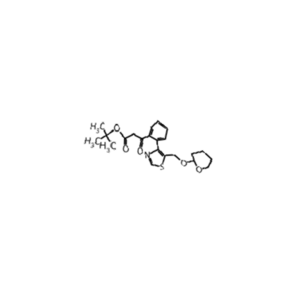 CC(C)(C)OC(=O)CC(=O)c1ccccc1-c1ncsc1COC1CCCCO1